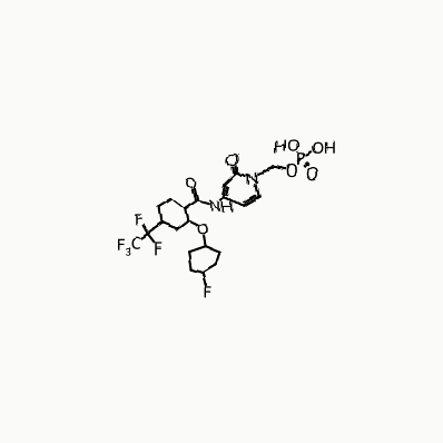 O=C(Nc1ccn(COP(=O)(O)O)c(=O)c1)C1CCC(C(F)(F)C(F)(F)F)CC1OC1CCC(F)CC1